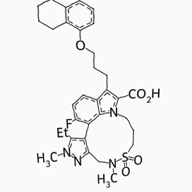 CCc1c2c(nn1C)CN(C)S(=O)(=O)CCCn1c(C(=O)O)c(CCCOc3cccc4c3CCCC4)c3ccc(F)c-2c31